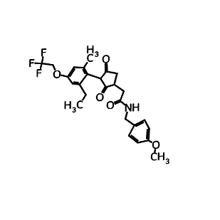 CCc1cc(OCC(F)(F)F)cc(C)c1C1C(=O)CC(CC(=O)NCc2ccc(OC)cc2)C1=O